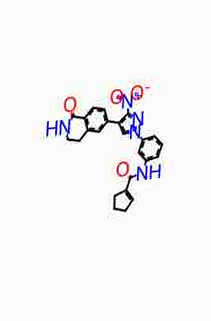 O=C(Nc1cccc(-n2cc(-c3ccc4c(c3)CCNC4=O)c([N+](=O)[O-])n2)c1)C1=CCCC1